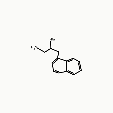 CCC(C)[C@H](CN)Cc1cccc2ccccc12